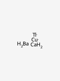 [BaH2].[CaH2].[Cu].[Tl]